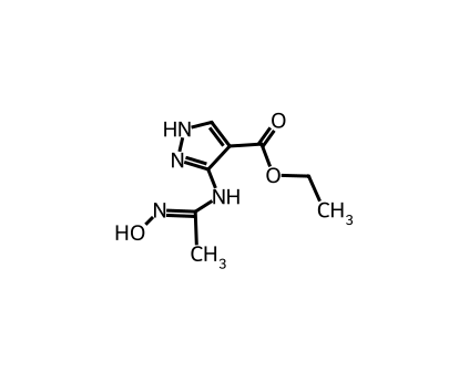 CCOC(=O)c1c[nH]nc1NC(C)=NO